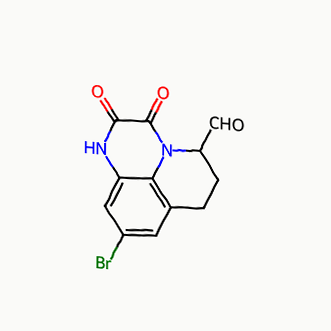 O=CC1CCc2cc(Br)cc3[nH]c(=O)c(=O)n1c23